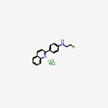 Cl.Cl.FCCNc1ccc(-c2ccc3ccccc3n2)cc1